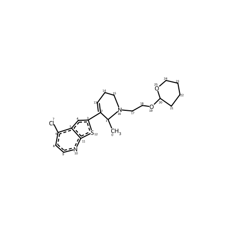 CC1C(c2cc3c(Cl)ccnc3s2)=CCCN1CCOC1CCCCO1